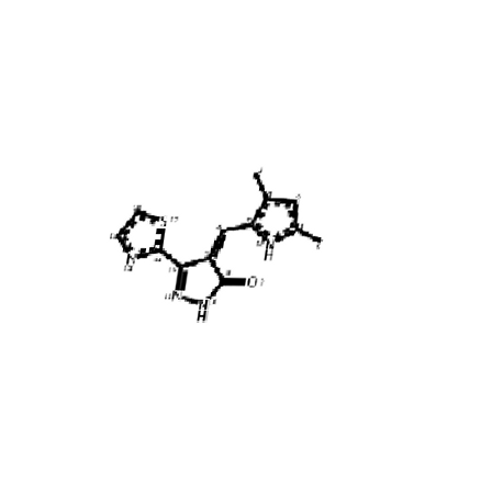 Cc1cc(C)c(C=C2C(=O)NN=C2c2nccs2)[nH]1